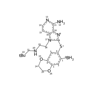 Bc1cc2c(cc1Sc1nc3c(N)nccc3n1CCNCC(C)(C)C)OCCO2